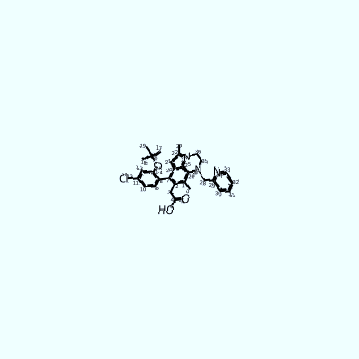 Cc1c(CC(=O)O)c(-c2ccc(Cl)cc2OC(C)(C)C)c2cc(C)n3c2c1N(Cc1ccccn1)CC3